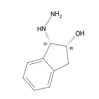 NN[C@H]1c2ccccc2C[C@H]1O